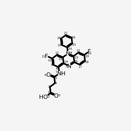 O=C(O)CCC(=O)Nc1cc(F)cc2c1nc1ccc(F)cc1[n+]2-c1ccccc1